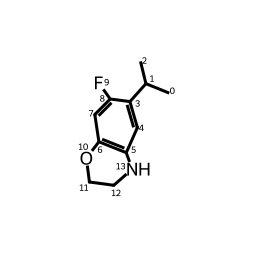 CC(C)c1cc2c(cc1F)OCCN2